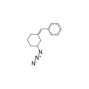 [N-]=[N+]=NC1CCCC(=Cc2ccccc2)C1